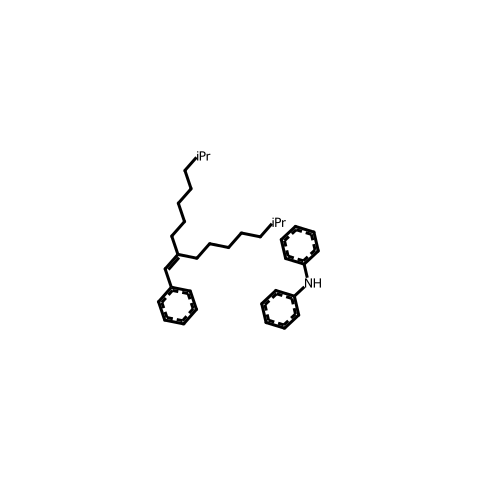 CC(C)CCCCCC(=Cc1ccccc1)CCCCCC(C)C.c1ccc(Nc2ccccc2)cc1